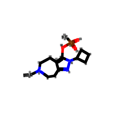 O=C(O)N1CCc2nn(C3CCC3)c(OS(=O)(=O)C(F)(F)F)c2CC1